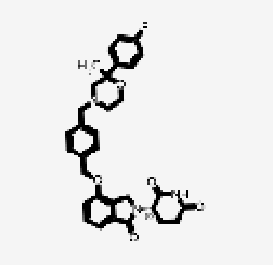 CC1(c2ccc(F)cc2)CN(Cc2ccc(COc3cccc4c3CN([C@@H]3CCC(=O)NC3=O)C4=O)cc2)CCO1